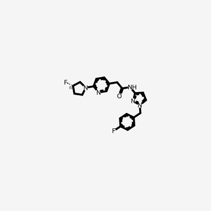 O=C(Cc1ccc(N2CC[C@H](F)C2)nc1)Nc1ccn(Cc2ccc(F)cc2)n1